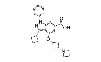 O=C(O)c1cc(O[C@H]2C[C@@H](N3CCC3)C2)c2c(C3CCC3)nn(-c3ccccc3)c2n1